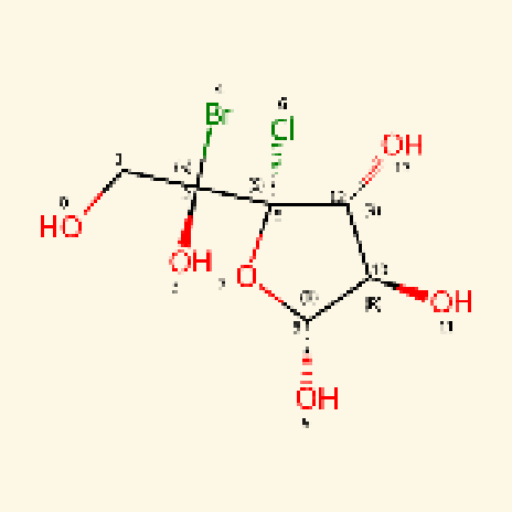 OC[C@](O)(Br)[C@]1(Cl)O[C@@H](O)[C@H](O)[C@H]1O